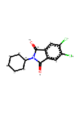 O=C1c2cc(Cl)c(Cl)cc2C(=O)N1C1CCCCC1